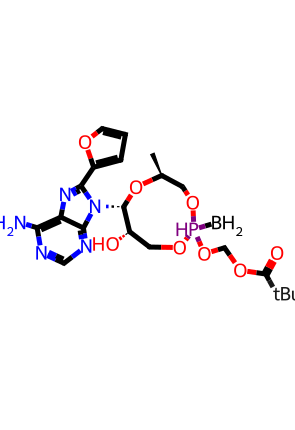 B[PH]1(OCOC(=O)C(C)(C)C)OC[C@H](C)O[C@@H](n2c(-c3ccco3)nc3c(N)ncnc32)[C@@H](O)CO1